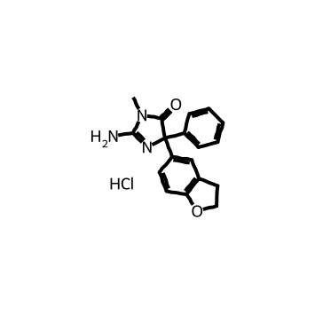 CN1C(=O)C(c2ccccc2)(c2ccc3c(c2)CCO3)N=C1N.Cl